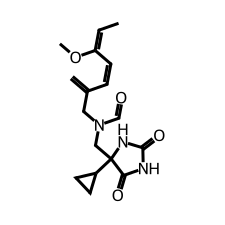 C=C(/C=C\C(=C/C)OC)CN(C=O)CC1(C2CC2)NC(=O)NC1=O